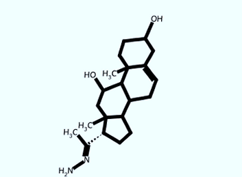 C/C(=N\N)[C@H]1CCC2C3CC=C4CC(O)CCC4(C)C3C(O)CC21C